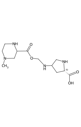 CN1CCNC(C(=O)OCNC2CN[C@H](C(=O)O)C2)C1